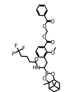 COc1c(CC(NC(=O)CCCC(F)(F)F)B2OC3CC4CC(C4(C)C)C3(C)O2)cccc1C(=O)OCOC(=O)c1ccccc1